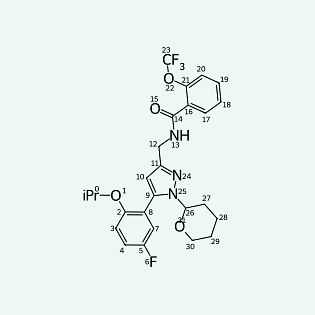 CC(C)Oc1ccc(F)cc1-c1cc(CNC(=O)c2ccccc2OC(F)(F)F)nn1C1CCCCO1